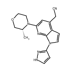 C[C@@H]1COCCN1c1cc(CC#N)c2ccn(-c3cc[nH]n3)c2n1